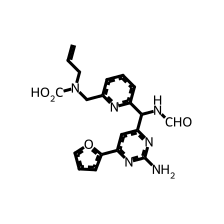 C=CCN(Cc1cccc(C(NC=O)c2cc(-c3ccco3)nc(N)n2)n1)C(=O)O